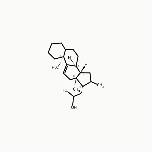 CC1C[C@H]2[C@@H]3CCC4CCCC[C@]4(C)C3=CC[C@]2(C)[C@H]1CC(O)O